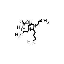 C=CCN1C=CN(CC=C)C1CCCC.CC(=O)O